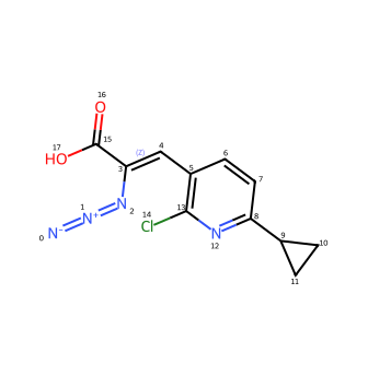 [N-]=[N+]=N/C(=C\c1ccc(C2CC2)nc1Cl)C(=O)O